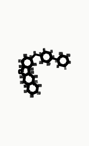 c1ccc(-c2ccc(Cc3ccc4oc5cc6ccccc6cc5c4c3)cc2)cc1